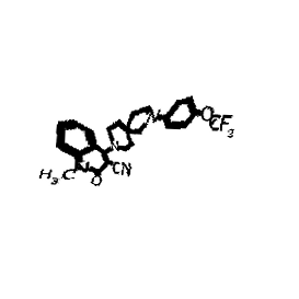 Cn1c(=O)c(C#N)c(N2CCC3(CCN(c4ccc(OC(F)(F)F)cc4)C3)CC2)c2ccccc21